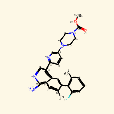 Cc1cccc(F)c1-c1cc2c(-c3ccc(N4CCN(C(=O)OC(C)(C)C)CC4)cn3)cnc(N)c2cc1C#N